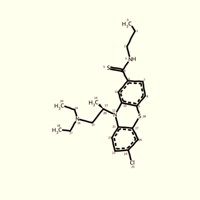 CCCNC(=S)c1ccc2c(c1)N([C@H](C)CN(CC)CC)c1ccc(Cl)cc1S2